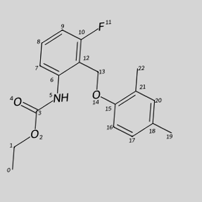 CCOC(=O)Nc1cccc(F)c1COc1ccc(C)cc1C